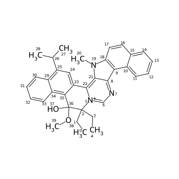 CCC1(CC)[n+]2cnc3c4c5ccccc5ccc4n(C)c3c2-c2cc(C(C)C)c3ccccc3c2C1(O)OC